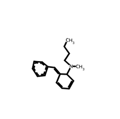 CCCCN(C)C1C=CC=CC1=Cc1ccccc1